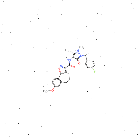 COc1ccc2c(c1)CCCc1c(C(=O)Nc3c(C)n(C)n(Cc4ccc(F)cc4)c3=O)noc1-2